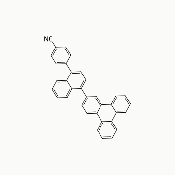 N#Cc1ccc(-c2ccc(-c3ccc4c5ccccc5c5ccccc5c4c3)c3ccccc23)cc1